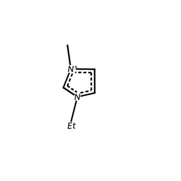 [CH2]Cn1cc[n+](C)c1